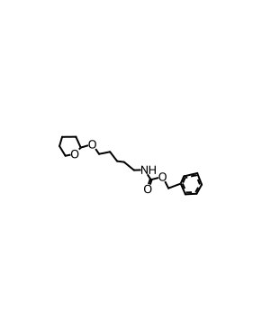 O=C(NCCCCCOC1CCCCO1)OCc1ccccc1